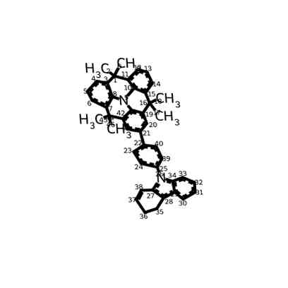 CC1(C)c2cccc3c2N2c4c1cccc4C(C)(C)c1cc(-c4ccc(-n5c6c(c7ccccc75)CCC=C6)cc4)cc(c12)C3(C)C